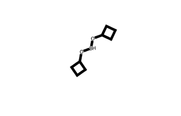 B(OC1CCC1)OC1CCC1